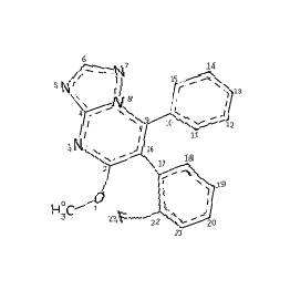 COc1nc2ncnn2c(-c2ccccc2)c1-c1ccccc1F